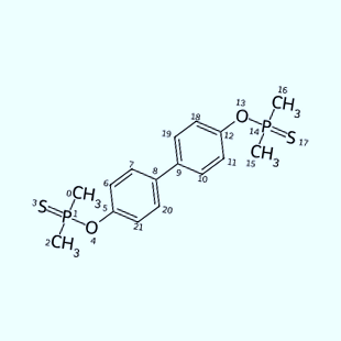 CP(C)(=S)Oc1ccc(-c2ccc(OP(C)(C)=S)cc2)cc1